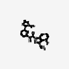 CC(C)n1cnnc1-c1cccc(NC(=O)n2nc(N)c3c(F)cccc32)n1